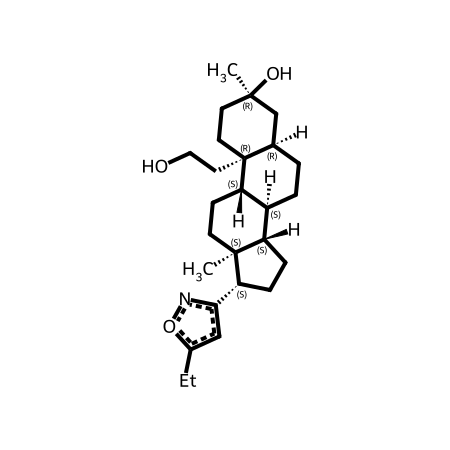 CCc1cc([C@H]2CC[C@H]3[C@@H]4CC[C@@H]5C[C@](C)(O)CC[C@]5(CCO)[C@H]4CC[C@]23C)no1